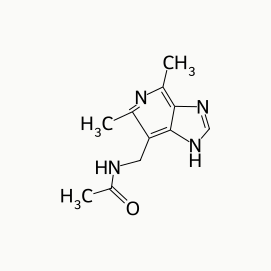 CC(=O)NCc1c(C)nc(C)c2nc[nH]c12